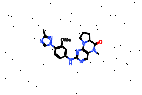 COc1cc(Nc2ncc3c(n2)N2CCCC2C(=O)N3C)ccc1-n1cnc(C)n1